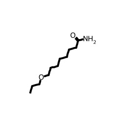 CCCOCCCCCCCC(N)=O